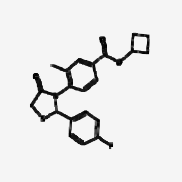 Cc1cc(C(=O)OC2CCC2)ccc1N1C(=O)CSC1c1ccc(F)cc1